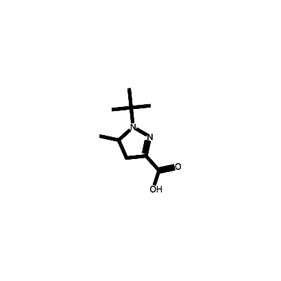 CC1CC(C(=O)O)=NN1C(C)(C)C